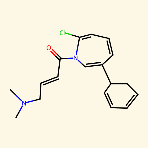 CN(C)CC=CC(=O)N1C=C(C2C=CC=CC2)C=CC=C1Cl